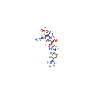 C[C@@H](NC(=O)[C@H](O)[C@@H](O)C(=O)N1CCC[C@@H]1c1nc(N)sc1S(C)(=O)=O)c1ccc(N2C=CCN2)cc1